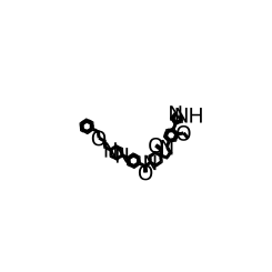 COc1cc(N2CCC3(CCN(C(=O)c4ccc(N5CCN(CCOCc6ccccc6)CC5)cc4)CC3)C2=O)ccc1-c1cn[nH]c1